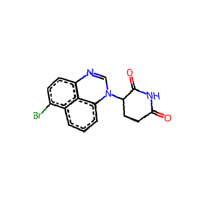 O=C1CCC(N2C=Nc3ccc(Br)c4cccc2c34)C(=O)N1